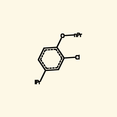 [CH2]C(C)c1ccc(OCCC)c(Cl)c1